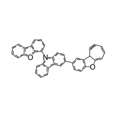 C1#CC2C(=CC=C1)Oc1ccc(-c3ccc4c(c3)c3ccccc3n4-c3cccc4c3oc3ccccc34)cc12